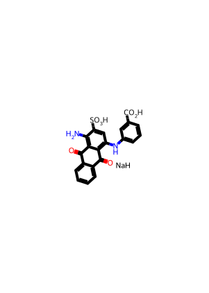 Nc1c(S(=O)(=O)O)cc(Nc2cccc(C(=O)O)c2)c2c1C(=O)c1ccccc1C2=O.[NaH]